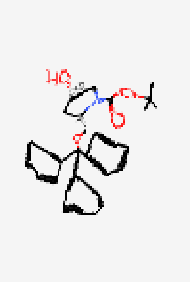 CC(C)(C)OC(=O)N1C[C@@H](O)C[C@H]1COC(c1ccccc1)(c1ccccc1)c1ccccc1